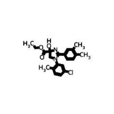 CCOC(=O)C1(O)CN(c2cc(Cl)ccc2C)C(c2ccc(C)c(C)c2)=N1